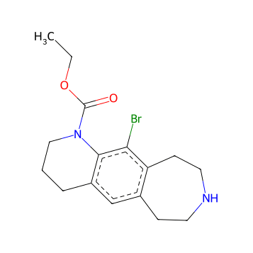 CCOC(=O)N1CCCc2cc3c(c(Br)c21)CCNCC3